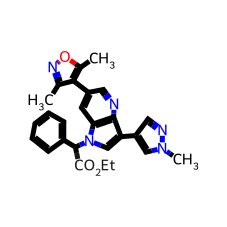 CCOC(=O)C(c1ccccc1)n1cc(-c2cnn(C)c2)c2ncc(-c3c(C)noc3C)cc21